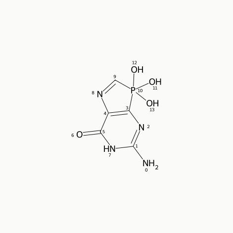 Nc1nc2c(c(=O)[nH]1)N=CP2(O)(O)O